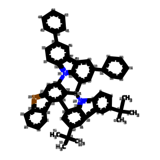 CC(C)(C)c1ccc2c(c1)c1cc(C(C)(C)C)cc3c1n2B1c2c(cc4sc5ccccc5c4c2-3)-n2c3ccc(-c4ccccc4)cc3c3cc(-c4ccccc4)cc1c32